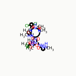 CC[C@H](NC(=O)[C@@](C)(O)C(F)(F)F)C(=O)N[C@@H](CCNC(=O)c1cccc(NC)n1)C(=O)N(C)[C@H]1CCCCN(C)C(=O)[C@@H](CC)NC(=O)[C@H](Cc2cc(Cl)ccc2Cl)N(C)C(=O)[C@H](CC(C)C)NC1=O